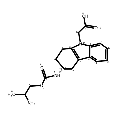 CC(C)COC(=O)N[C@@H]1CCc2c(c3ccccc3n2CC(=O)O)C1